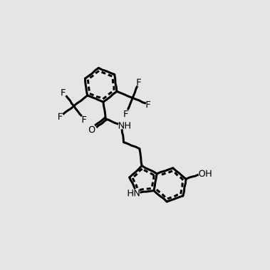 O=C(NCCc1c[nH]c2ccc(O)cc12)c1c(C(F)(F)F)cccc1C(F)(F)F